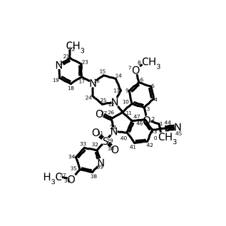 CCOc1ccc(OC)cc1C1(N2CCCN(c3ccnc(C)c3)CC2)C(=O)N(S(=O)(=O)c2ccc(OC)cn2)c2ccc(C#N)cc21